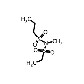 CCCS(=O)(=O)N(C)S(=O)(=O)CC